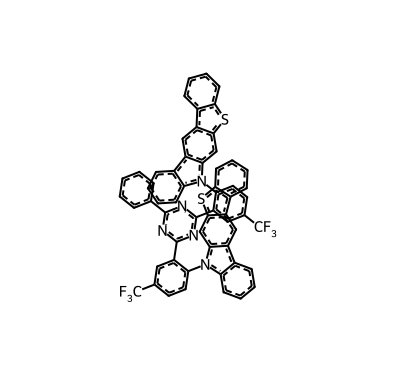 FC(F)(F)c1ccc(-n2c3ccccc3c3cc4c(cc32)sc2ccccc24)c(-c2nc(-c3ccccc3)nc(-c3cc(C(F)(F)F)ccc3-n3c4ccccc4c4cc5c(cc43)sc3ccccc35)n2)c1